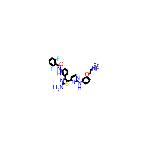 CCNCCOc1cccc(Nc2nccc(-c3sc(N)nc3-c3cccc(NC(=O)c4c(F)cccc4F)c3)n2)c1